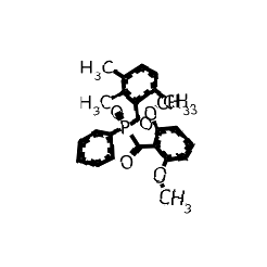 COc1cccc(OC)c1C(=O)P(=O)(C(=O)c1c(C)ccc(C)c1C)c1ccccc1